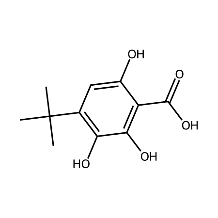 CC(C)(C)c1cc(O)c(C(=O)O)c(O)c1O